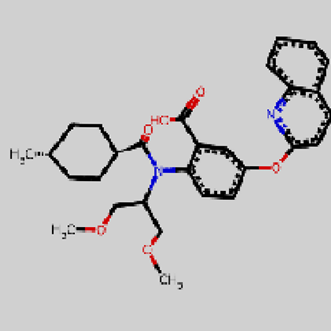 COCC(COC)N(c1ccc(Oc2ccc3ccccc3n2)cc1C(=O)O)C(=O)[C@H]1CC[C@H](C)CC1